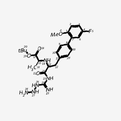 COc1ccc(F)cc1-c1ccc(CC(N[C@@H](C)C(=O)OC(C)(C)C)C(=O)NC(=N)NNN)cc1